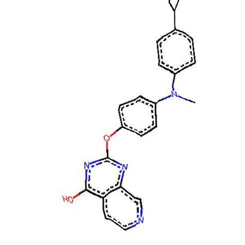 CN(c1ccc(Oc2nc(O)c3ccncc3n2)cc1)c1ccc(C2CC2)cc1